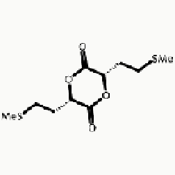 CSCC[C@@H]1OC(=O)[C@H](CCSC)OC1=O